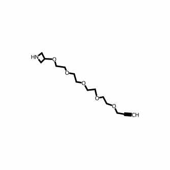 C#CCOCCOCCOCCOCCOC1CNC1